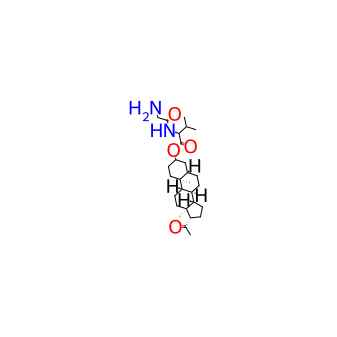 CC(=O)[C@H]1CC[C@H]2[C@@H]3CC[C@H]4C[C@H](OC(=O)[C@@H](NC(=O)CN)C(C)C)CC[C@]4(C)[C@H]3CC[C@]12C